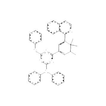 CC1C=C(c2nc(Nc3ccccc3)nc(N(c3ccccc3)c3ccccc3)n2)C=C(c2nccc3ccccc23)C1(C)C